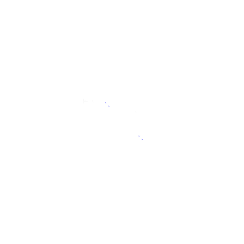 C=Nc1ccc2c3ccccc3n3c2c1B(c1ccccc1)c1ccccc1-3